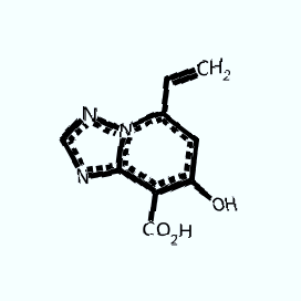 C=Cc1cc(O)c(C(=O)O)c2ncnn12